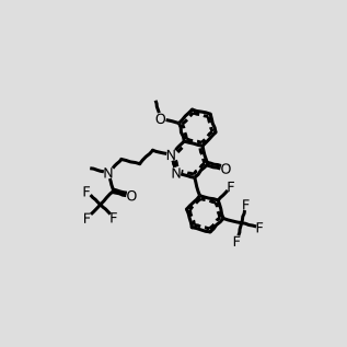 COc1cccc2c(=O)c(-c3cccc(C(F)(F)F)c3F)nn(CCCN(C)C(=O)C(F)(F)F)c12